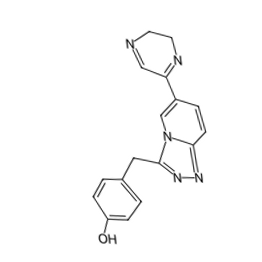 Oc1ccc(Cc2nnc3ccc(C4=NCCN=C4)cn23)cc1